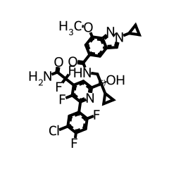 COc1cc(C(=O)NC[C@](O)(c2cc(C(F)(F)C(N)=O)c(F)c(-c3cc(Cl)c(F)cc3F)n2)C2CC2)cc2cn(C3CC3)nc12